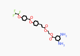 Nc1cc(N)cc(C(=O)OCCOC(=O)/C=C/c2ccc(OC(=O)c3ccc(OC(F)C(F)F)cc3)cc2)c1